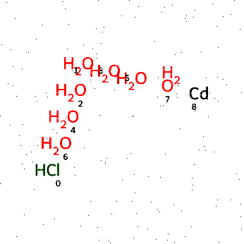 Cl.O.O.O.O.O.O.O.[Cd]